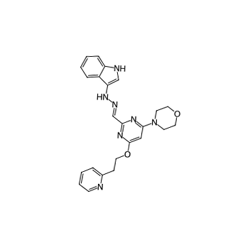 C(=NNc1c[nH]c2ccccc12)c1nc(OCCc2ccccn2)cc(N2CCOCC2)n1